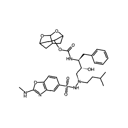 CNc1nc2cc(S(=O)(=O)NN(CCC(C)C)C[C@@H](O)[C@H](Cc3ccccc3)NC(=O)OC3C4CC5CC3OC5O4)ccc2o1